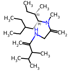 C=C(NCC(=C)N(C)[C@H](CC(CC)CC)[C@@H](C)CC)C(C)C(C)C